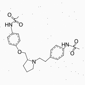 CS(=O)(=O)Nc1ccc(CCN2CCCC2COc2ccc(NS(C)(=O)=O)cc2)cc1